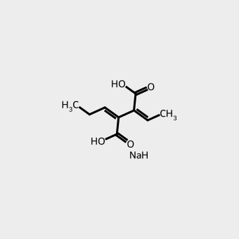 CC=C(C(=O)O)C(=CCC)C(=O)O.[NaH]